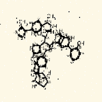 Cc1ncsc1-c1ccc([C@H](C)NC(=O)[C@@H]2C[C@@H](O)CN2C(=O)[C@@H](c2cc(OCCN3C[C@H]4CC[C@@H](C3)N4C(=O)c3ccc(CCOc4cc(-c5ccccc5O)nnc4N)cc3)no2)C(C)C)cc1